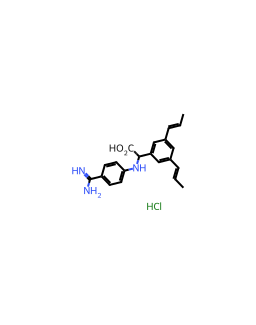 CC=Cc1cc(C=CC)cc(C(Nc2ccc(C(=N)N)cc2)C(=O)O)c1.Cl